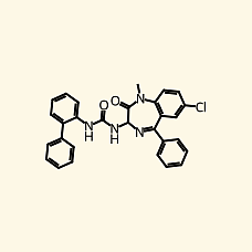 CN1C(=O)C(NC(=O)Nc2ccccc2-c2ccccc2)N=C(c2ccccc2)c2cc(Cl)ccc21